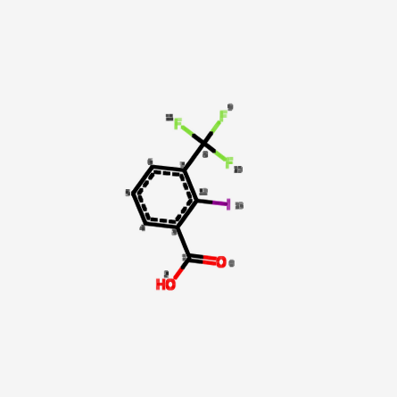 O=C(O)c1cccc(C(F)(F)F)c1I